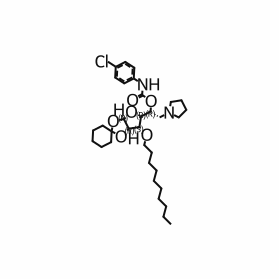 CCCCCCCCCCO[C@@H]1[C@H]2OC3(CCCCC3)O[C@H]2O[C@@H]1[C@@H](CN1CCCC1)OC(=O)Nc1ccc(Cl)cc1